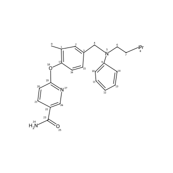 Cc1cc(CN(CCC(C)C)c2ccccc2)ccc1Oc1ccc(C(N)=O)cn1